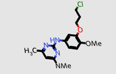 CNc1cc(C)nc(Nc2ccc(OC)c(OCCCCl)c2)n1